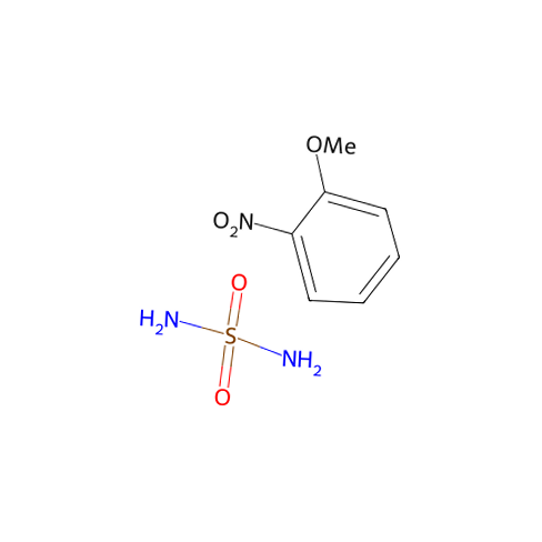 COc1ccccc1[N+](=O)[O-].NS(N)(=O)=O